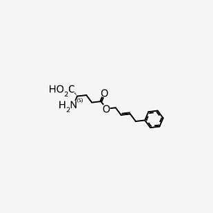 N[C@@H](CCC(=O)OCC=CCc1ccccc1)C(=O)O